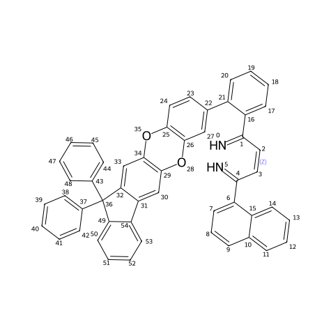 N=C(/C=C\C(=N)c1cccc2ccccc12)c1ccccc1-c1ccc2c(c1)Oc1cc3c(cc1O2)C(c1ccccc1)(c1ccccc1)c1ccccc1-3